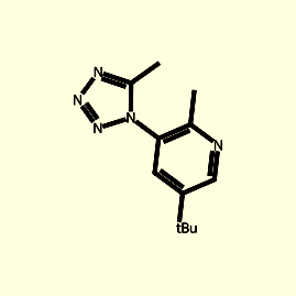 Cc1ncc(C(C)(C)C)cc1-n1nnnc1C